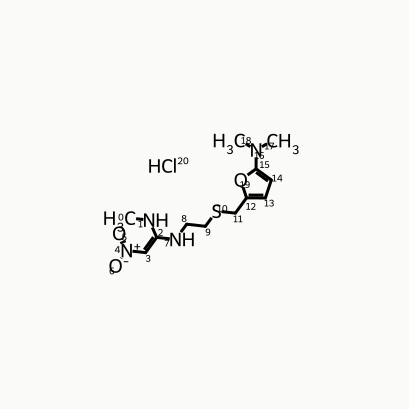 CN/C(=C\[N+](=O)[O-])NCCSCc1ccc(N(C)C)o1.Cl